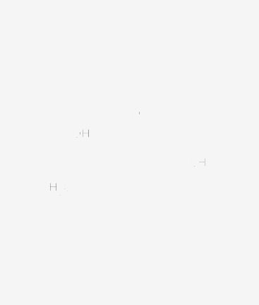 [CH2]C(O)C[C]1OCC1C